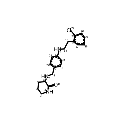 O=C1NCCCC1NCc1ccc(NCCc2ccccc2Cl)cc1